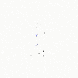 C=C(CC/C=C(\C)CC/C=C(\C)CCC=C(C)C)C(OC)OC